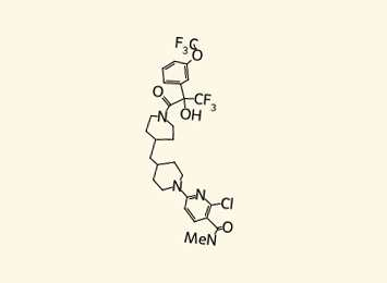 CNC(=O)c1ccc(N2CCC(CC3CCN(C(=O)C(O)(c4cccc(OC(F)(F)F)c4)C(F)(F)F)CC3)CC2)nc1Cl